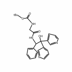 CC(C)(C)OC(=O)NCC(=O)NC(c1ccccc1)C(O)(c1cccnc1)c1cccnc1